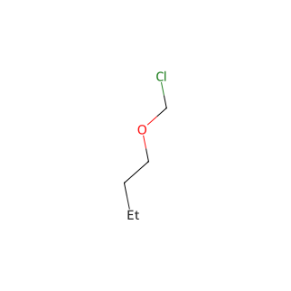 CCCCOCCl